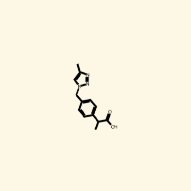 Cc1cn(Cc2ccc(C(C)C(=O)O)cc2)nn1